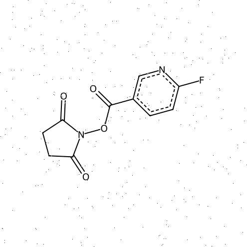 O=C(ON1C(=O)CCC1=O)c1ccc(F)nc1